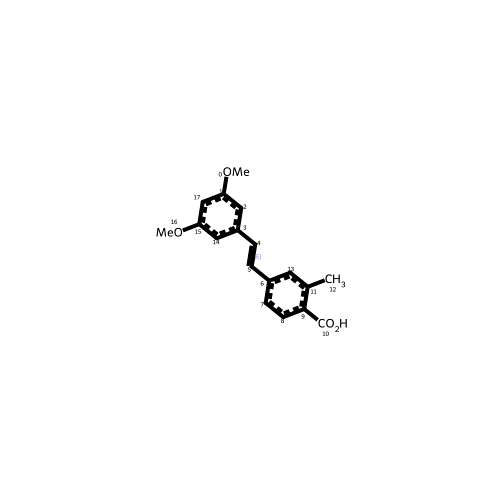 COc1cc(/C=C/c2ccc(C(=O)O)c(C)c2)cc(OC)c1